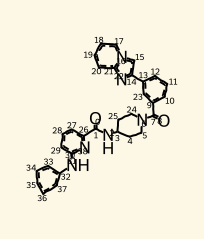 O=C(NC1CCN(C(=O)c2cccc(-c3cn4ccccc4n3)c2)CC1)c1cccc(Nc2ccccc2)n1